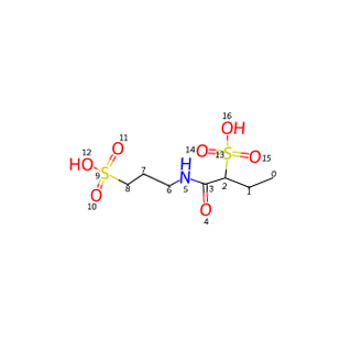 CCC(C(=O)NCCCS(=O)(=O)O)S(=O)(=O)O